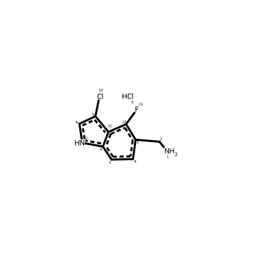 Cl.NCc1ccc2[nH]cc(Cl)c2c1F